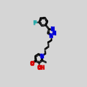 Cc1c(O)c(=O)ccn1CCCCCn1cc(-c2cccc(F)c2)nn1